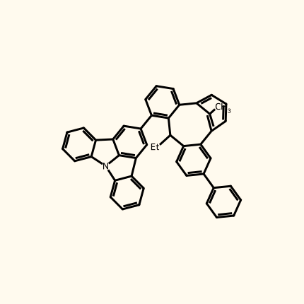 CCC1c2ccc(-c3ccccc3)cc2-c2cccc(c2C)-c2cccc(-c3cc4c5ccccc5n5c6ccccc6c(c3)c45)c21